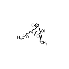 CCC#CC[C@@H](C(C)C)[C@@H](O)/C=C/[C@H]1CCC(=O)N1CCCCCCC(=O)OC